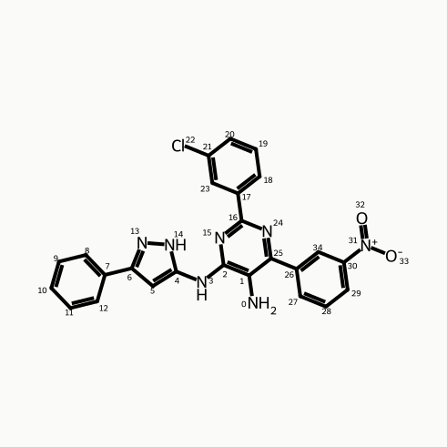 Nc1c(Nc2cc(-c3ccccc3)n[nH]2)nc(-c2cccc(Cl)c2)nc1-c1cccc([N+](=O)[O-])c1